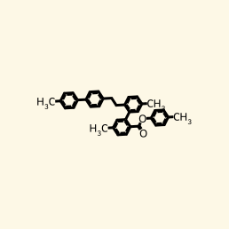 Cc1ccc(OC(=O)c2ccc(C)cc2-c2cc(C)ccc2CCc2ccc(-c3ccc(C)cc3)cc2)cc1